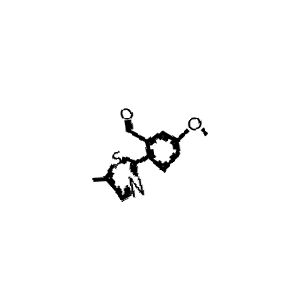 COc1ccc(-c2ncc(C)s2)c(C=O)c1